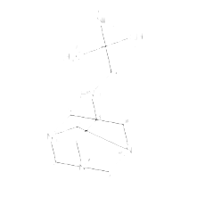 CC(C)(N)CNC12CN3CN(CN(C3)C1)C2